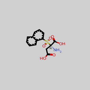 N[C@@](CC(=O)O)(C(=O)O)S(=O)(=O)c1cccc2ccccc12